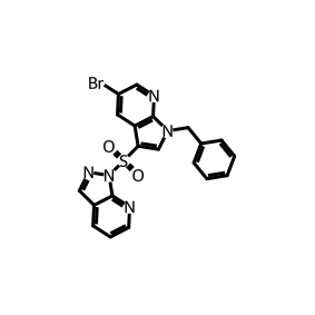 O=S(=O)(c1cn(Cc2ccccc2)c2ncc(Br)cc12)n1ncc2cccnc21